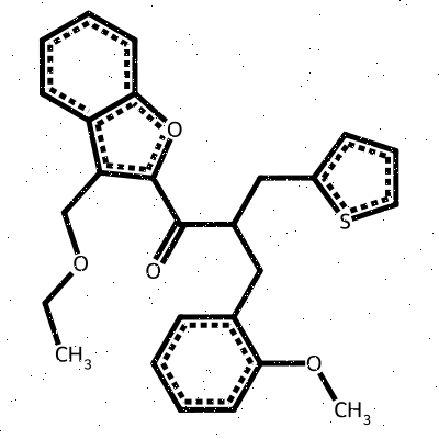 CCOCc1c(C(=O)C(Cc2cccs2)Cc2ccccc2OC)oc2ccccc12